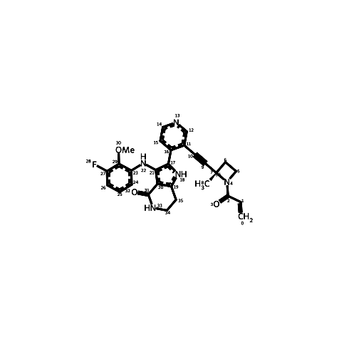 C=CC(=O)N1CC[C@@]1(C)C#Cc1cnccc1-c1[nH]c2c(c1Nc1cccc(F)c1OC)C(=O)NCC2